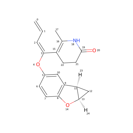 C=C/C=C(/Oc1ccc2c(c1)[C@H]1C[C@H]1O2)C1=C(C)NC(=O)CC1